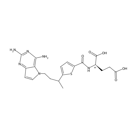 CC(CCn1ccc2nc(N)nc(N)c21)c1ccc(C(=O)N[C@H](CCC(=O)O)C(=O)O)s1